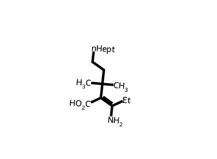 CCCCCCCCCC(C)(C)/C(C(=O)O)=C(/N)CC